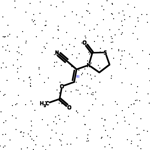 CC(=O)O/C=C(\C#N)N1CCSC1=O